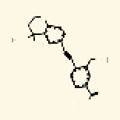 CC1(C)CCSc2ccc(C#Cc3ccc(C(=O)O)cc3CO)cc21